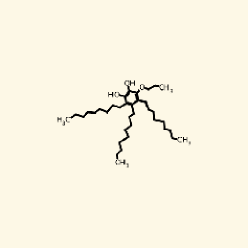 CCCCCCCCCc1c(O)c(O)c(OCCC)c(CCCCCCCCC)c1CCCCCCCCC